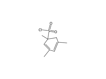 CC1=CC(C)(S(=O)(=O)Cl)CC(C)=C1